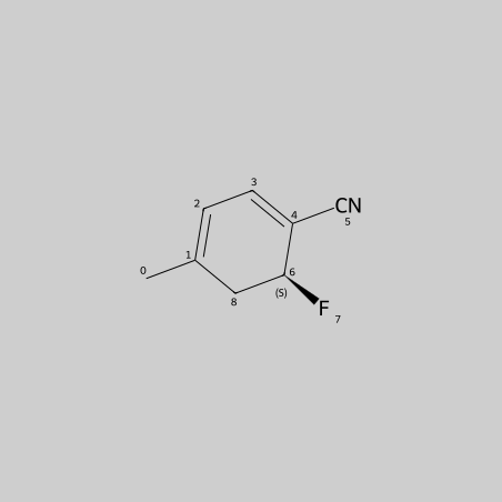 CC1=CC=C(C#N)[C@@H](F)C1